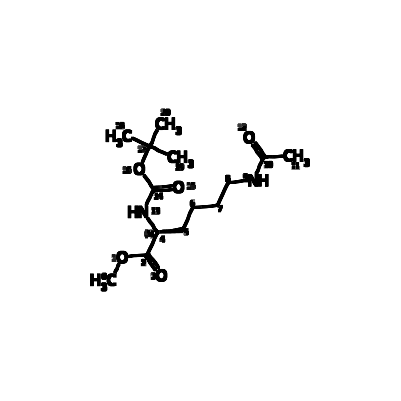 COC(=O)[C@H](CCCCNC(C)=O)NC(=O)OC(C)(C)C